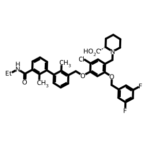 CCNC(=O)c1cccc(-c2cccc(COc3cc(OCc4cc(F)cc(F)c4)c(CN4CCCC[C@H]4C(=O)O)cc3Cl)c2C)c1C